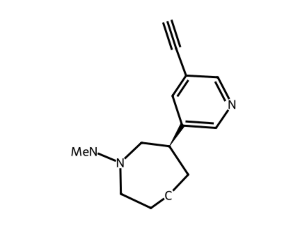 C#Cc1cncc([C@H]2CCCCN(NC)C2)c1